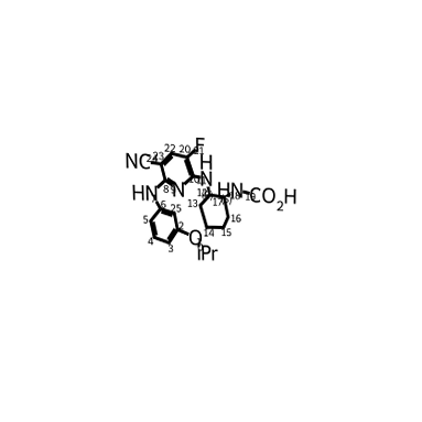 CC(C)Oc1cccc(Nc2nc(N[C@@H]3CCCC[C@@H]3NC(=O)O)c(F)cc2C#N)c1